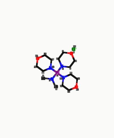 CCN(CC)[P+](N1CCOCC1)(N1CCOCC1)N1CCOCC1.[Cl-]